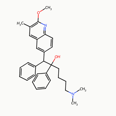 COc1nc2ccc(C(c3ccccc3)C(O)(CCCCN(C)C)c3ccccc3)cc2cc1C